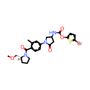 COC[C@H]1CCCN1C(=O)c1ccc(N2CC(NC(=O)Oc3ccc(Br)s3)CC2=O)cc1C